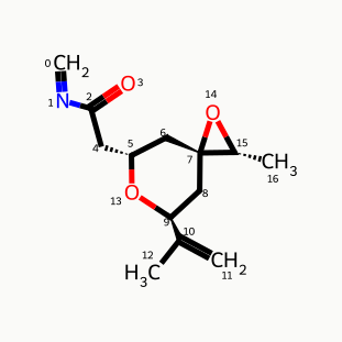 C=NC(=O)C[C@@H]1C[C@@]2(C[C@@H](C(=C)C)O1)O[C@@H]2C